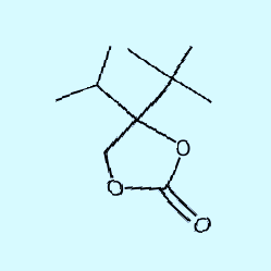 CC(C)C1(C(C)(C)C)COC(=O)O1